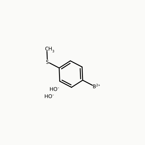 [B+2]c1ccc(SC)cc1.[OH-].[OH-]